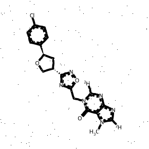 [2H]c1nc2nc([2H])n(C)c2c(=O)n1Cc1nc([C@@H]2CO[C@@H](c3ccc(Cl)cc3)C2)no1